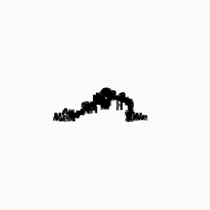 CNC(CCCCNC(=O)OCCn1nnc2c1-c1ccccc1CN(C(=O)CCNC(=O)CCC(C)(C)OCCC(C)(C)OC)c1ccccc1-2)C(C)=O